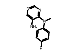 CN(c1ccc(F)cc1)c1ncncc1N